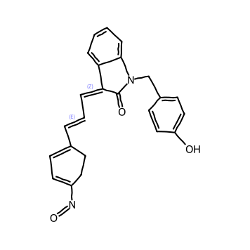 O=NC1=CC=C(/C=C/C=C2\C(=O)N(Cc3ccc(O)cc3)c3ccccc32)CC1